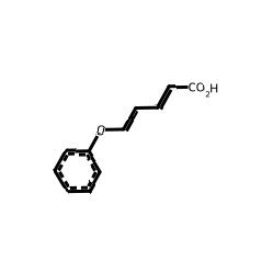 O=C(O)C=CC=COc1ccccc1